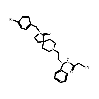 CC(C)CC(=O)N[C@@H](CCN1CCC2(CC1)CCN(Cc1ccc(Br)cc1)C2=O)c1ccccc1